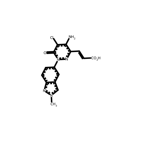 Cn1cc2cc(-n3nc(C=CC(=O)O)c(N)c(Cl)c3=O)ccc2n1